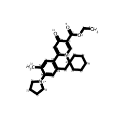 CCOC(=O)c1cn2c(cc1=O)-c1cc(C)c(N3CCCC3)cc1CC21CCCCC1